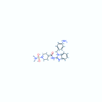 CN(C)S(=O)(=O)N1CCC(C(=O)Nc2nc3ccccc3n2Cc2ccc(N)cc2)CC1